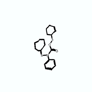 O=C(OSC1CCCCC1)N(SC1CCCCC1)c1ccccc1